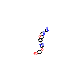 Cn1cc(-n2ccc(=O)c(Cc3cccc(-c4ncc(O[C@H]5CC[C@@](C)(O)CC5)cn4)c3)n2)cn1